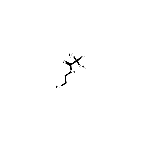 CC(C)(Br)C(=O)NCCO